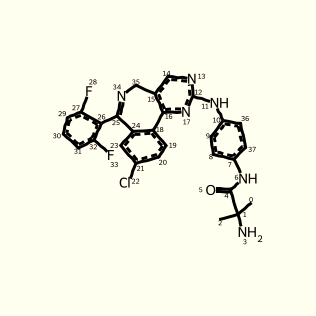 CC(C)(N)C(=O)Nc1ccc(Nc2ncc3c(n2)-c2ccc(Cl)cc2C(c2c(F)cccc2F)=NC3)cc1